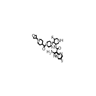 Nc1nn2cc(F)cnc2c1C(=O)NC1CNCC(F)C1N1CCN(C(=O)C2CCN(C3COC3)CC2)CC1